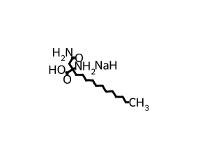 CCCCCCCCCCCCC(N)(CC(N)=O)C(=O)O.[NaH]